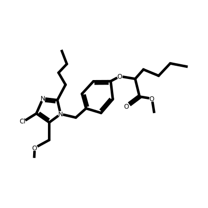 CCCCc1nc(Cl)c(COC)n1Cc1ccc(OC(CCCC)C(=O)OC)cc1